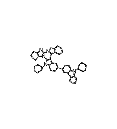 c1ccc(-n2c3ccccc3c3cc(-c4ccc5c(c4)c4c6c7ccccc7cn6c6nc7ccccc7n6c4n5-c4ccccc4)ccc32)cc1